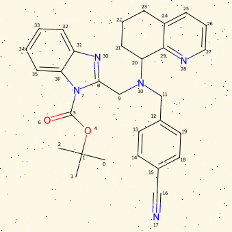 CC(C)(C)OC(=O)n1c(CN(Cc2ccc(C#N)cc2)C2CCCc3cccnc32)nc2ccccc21